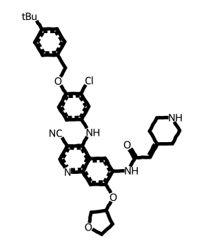 CC(C)(C)c1ccc(COc2ccc(Nc3c(C#N)cnc4cc(OC5CCOC5)c(NC(=O)C=C5CCNCC5)cc34)cc2Cl)cc1